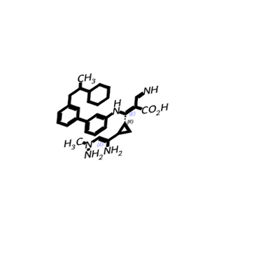 CC(Cc1cccc(-c2cccc(N/C(=C(\C=N)C(=O)O)[C@@H]3CC3/C(N)=C/N(C)N)c2)c1)C1CCCCC1